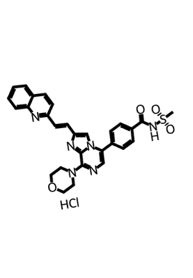 CS(=O)(=O)NC(=O)c1ccc(-c2cnc(N3CCOCC3)c3nc(/C=C/c4ccc5ccccc5n4)cn23)cc1.Cl